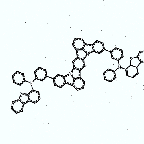 C1=CC2c3ccccc3SC2C(N(c2ccccc2)c2cccc(-c3ccc4c5cccc6c7cc8c(cc7n(c4c3)c56)c3cccc4c5ccc(-c6cccc(N(c7ccccc7)c7cccc9c7sc7ccccc79)c6)cc5n8c43)c2)=C1